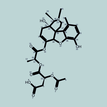 CC(=O)O[C@@H](CC(=O)O)C(=O)O[C@@H](C)C(=O)OC1=CC[C@@]2(O)[C@@H](C)N(C)CCC23c2c(C)ccc(O)c2OC13